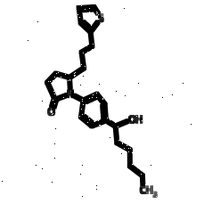 CCCCCC(O)c1ccc(N2C(=O)CCC2CCCc2cccs2)cc1